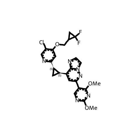 COc1ncc(-c2cc([C@H]3C[C@@H]3c3cc(OCC4CC4(F)F)c(Cl)cn3)c3nccn3n2)c(OC)n1